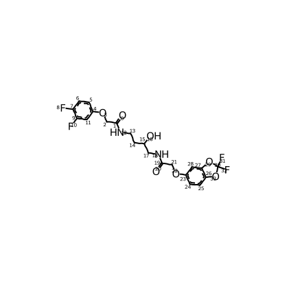 O=C(COc1ccc(F)c(F)c1)NCCC(O)CNC(=O)COc1ccc2c(c1)OC(F)(F)O2